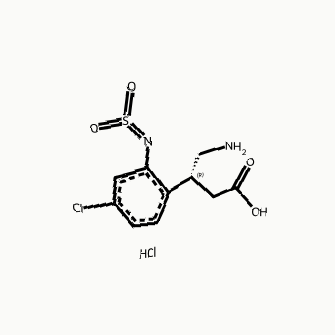 Cl.NC[C@H](CC(=O)O)c1ccc(Cl)cc1N=S(=O)=O